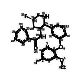 CCOc1cc(F)cnc1Oc1cncc(C2NC[C@@H](F)C[C@@H]2NC(=O)c2cncnc2)c1